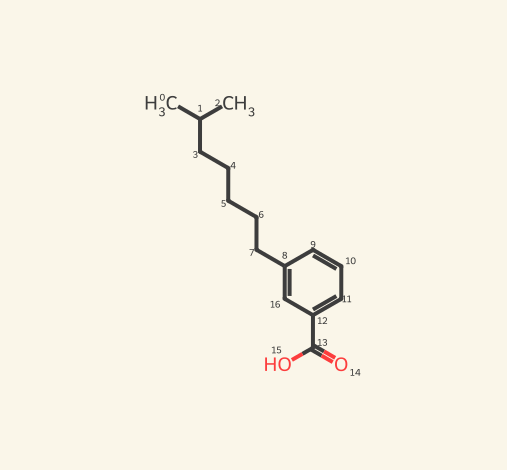 CC(C)CCCCCc1cccc(C(=O)O)c1